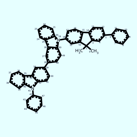 CC1(C)c2cc(-c3ccccc3)ccc2-c2ccc(-n3c4ccccc4c4cc(-c5ccc6c(c5)c5ccccc5n6-c5ccccc5)ccc43)cc21